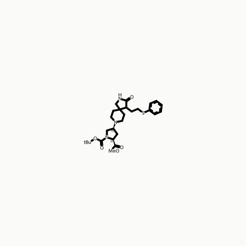 COC(=O)[C@@H]1C[C@H](N2CCC3(CC2)CNC(=O)C3CCSc2ccccc2)CN1C(=O)OC(C)(C)C